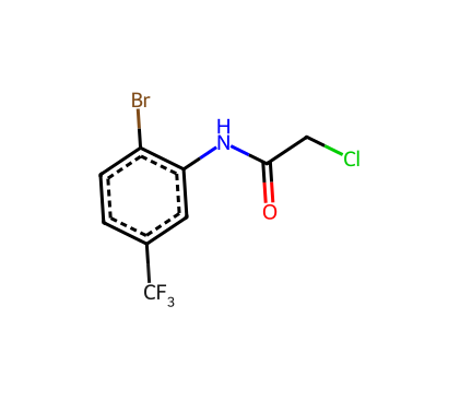 O=C(CCl)Nc1cc(C(F)(F)F)ccc1Br